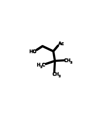 CC(=O)C(CO)C(C)(C)C